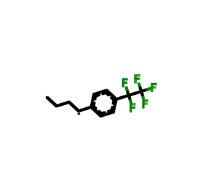 CCC[CH]c1ccc(C(F)(F)C(F)(F)F)cc1